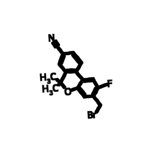 CC1(C)Oc2cc(CBr)c(F)cc2-c2ccc(C#N)cc21